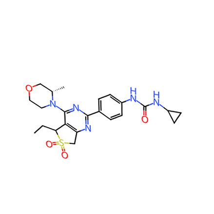 CCC1c2c(nc(-c3ccc(NC(=O)NC4CC4)cc3)nc2N2CCOC[C@@H]2C)CS1(=O)=O